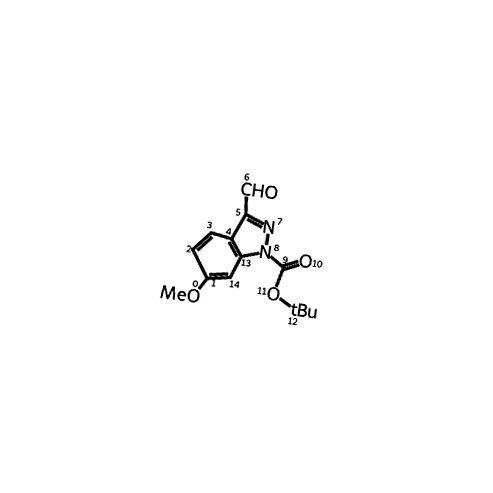 COc1ccc2c(C=O)nn(C(=O)OC(C)(C)C)c2c1